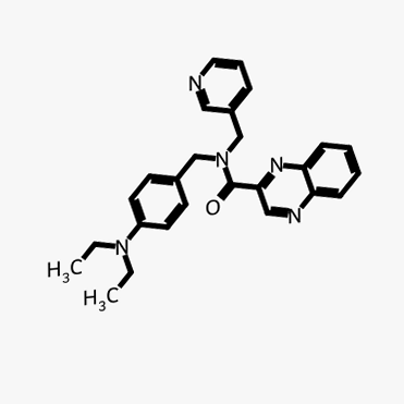 CCN(CC)c1ccc(CN(Cc2cccnc2)C(=O)c2cnc3ccccc3n2)cc1